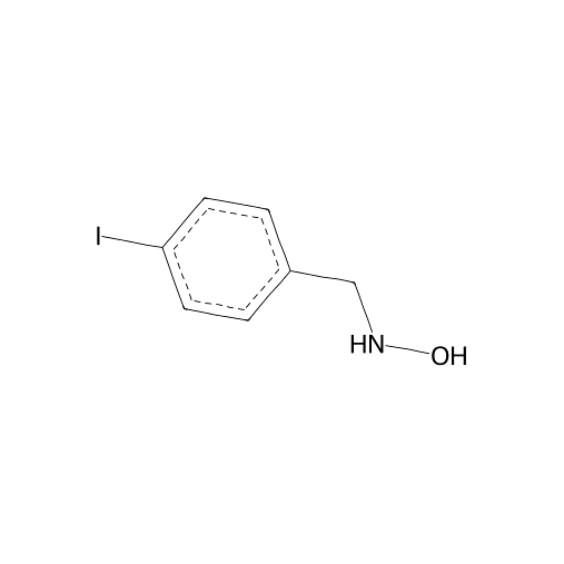 ONCc1ccc(I)cc1